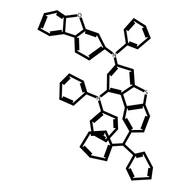 c1ccc(C(c2ccccc2)c2ccc3sc4cc(N(c5ccccc5)c5ccc6c(c5)oc5ccccc56)cc(N(c5ccccc5)c5ccccc5)c4c3c2)cc1